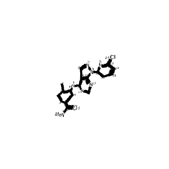 CNC(=O)c1ccc(C)c(Nc2ncnc3c2cnn3-c2cccc(Cl)n2)c1